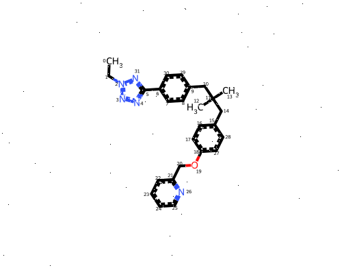 CCn1nnc(-c2ccc(CC(C)(C)Cc3ccc(OCc4ccccn4)cc3)cc2)n1